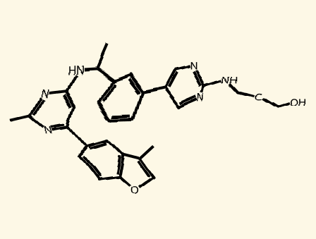 Cc1nc(NC(C)c2cccc(-c3cnc(NCCCO)nc3)c2)cc(-c2ccc3occ(C)c3c2)n1